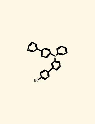 CCc1ccc(-c2cccc(N(c3ccccc3)c3ccc(-c4ccccc4)cc3)c2)cc1